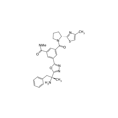 CNC(=O)c1cc(C(=O)N2CCC[C@@H]2c2nc(C)cs2)cc(-c2nnc([C@](C)(N)Cc3ccccc3)o2)c1